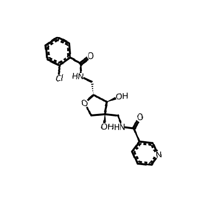 O=C(NC[C@]1(O)CO[C@H](CNC(=O)c2ccccc2Cl)[C@H]1O)c1cccnc1